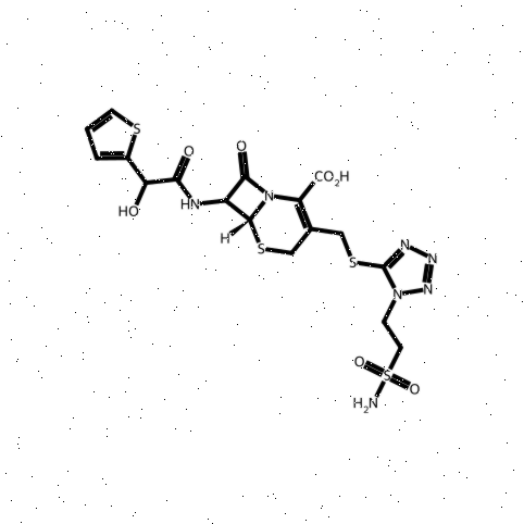 NS(=O)(=O)CCn1nnnc1SCC1=C(C(=O)O)N2C(=O)C(NC(=O)C(O)c3cccs3)[C@H]2SC1